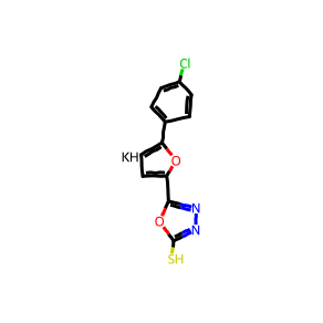 Sc1nnc(-c2ccc(-c3ccc(Cl)cc3)o2)o1.[KH]